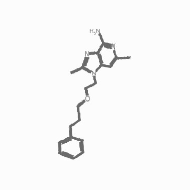 Cc1cc2c(nc(C)n2CCOCCCc2ccccc2)c(N)n1